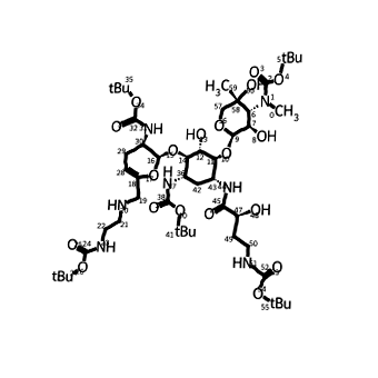 CN(C(=O)OC(C)(C)C)[C@@H]1[C@@H](O)[C@@H](O[C@@H]2[C@@H](O)[C@H](O[C@H]3OC(CNCCNC(=O)OC(C)(C)C)=CC[C@H]3NC(=O)OC(C)(C)C)[C@@H](NC(=O)OC(C)(C)C)C[C@H]2NC(=O)[C@@H](O)CCNC(=O)OC(C)(C)C)OC[C@]1(C)O